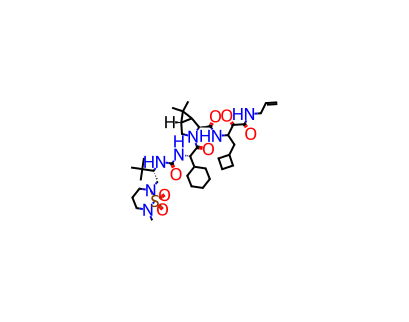 C=CCNC(=O)C(=O)C(CC1CCC1)NC(=O)[C@@H]1C2[C@H](CN1C(=O)[C@@H](NC(=O)N[C@H](CN1CCCN(C)S1(=O)=O)C(C)(C)C)C1CCCCC1)C2(C)C